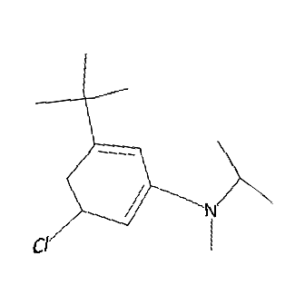 CC(C)N(C)C1=CC(Cl)CC(C(C)(C)C)=C1